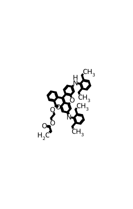 C=CC(=O)OCCOC(=O)c1ccccc1-c1c2cc/c(=N/c3c(CC)cccc3CC)cc-2oc2cc(Nc3c(CC)cccc3CC)ccc12